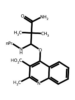 CCCNC(Oc1c(C(=O)O)c(C)nc2ccccc12)C(C)(C)C(N)=O